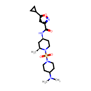 C[C@H]1C[C@@H](NC(=O)c2cc(C3CC3)on2)CCN1S(=O)(=O)N1CCC(N(C)C)CC1